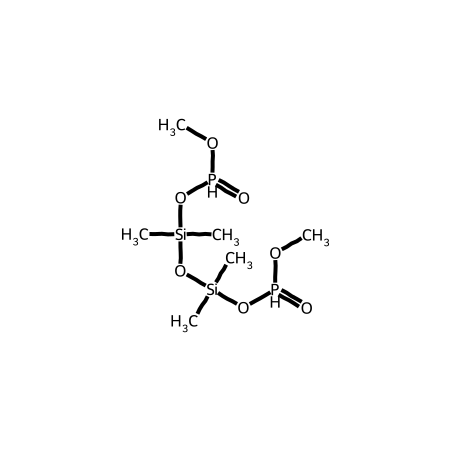 CO[PH](=O)O[Si](C)(C)O[Si](C)(C)O[PH](=O)OC